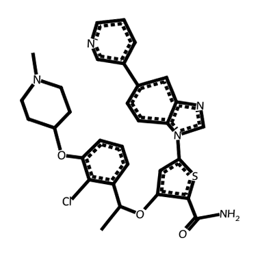 CC(Oc1cc(-n2cnc3cc(-c4cccnc4)ccc32)sc1C(N)=O)c1cccc(OC2CCN(C)CC2)c1Cl